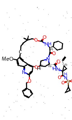 C=C[C@@H]1CC1(NC(=O)[C@@H]1C[C@@H]2CN1C(=O)[C@H](C1CCCCC1)NC(=O)OCC(C)(C)CCCc1cc3c(cc(OCc4ccccc4)nc3cc1OC)O2)C(=O)NS(=O)(=O)C1CC1